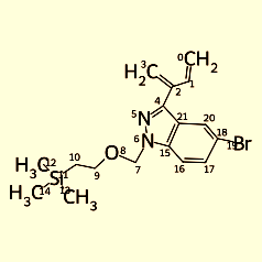 C=CC(=C)c1nn(COCC[Si](C)(C)C)c2ccc(Br)cc12